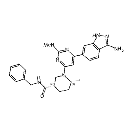 CNc1nc(-c2ccc3c(N)n[nH]c3c2)cc(N2C[C@@H](C(=O)NCc3ccccc3)CC[C@H]2C)n1